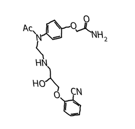 CC(=O)N(CCNCC(O)COc1ccccc1C#N)c1ccc(OCC(N)=O)cc1